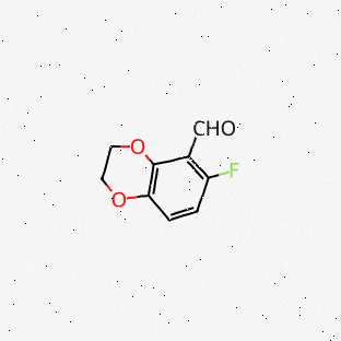 O=Cc1c(F)ccc2c1OCCO2